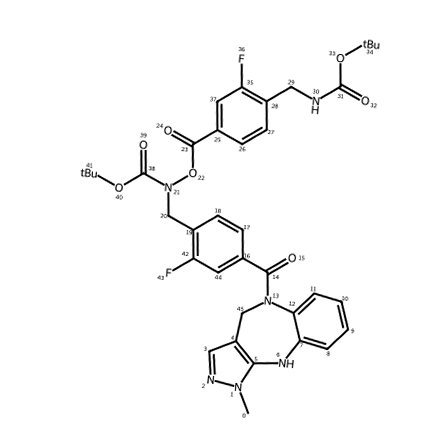 Cn1ncc2c1Nc1ccccc1N(C(=O)c1ccc(CN(OC(=O)c3ccc(CNC(=O)OC(C)(C)C)c(F)c3)C(=O)OC(C)(C)C)c(F)c1)C2